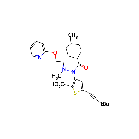 CC1CCC(C(=O)N(c2cc(C#CC(C)(C)C)sc2C(=O)O)N(C)CCOc2ccccn2)CC1